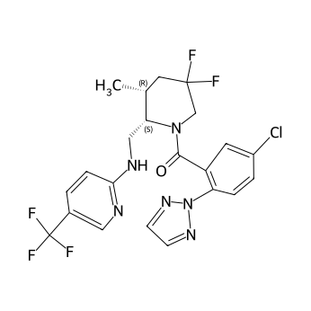 C[C@@H]1CC(F)(F)CN(C(=O)c2cc(Cl)ccc2-n2nccn2)[C@@H]1CNc1ccc(C(F)(F)F)cn1